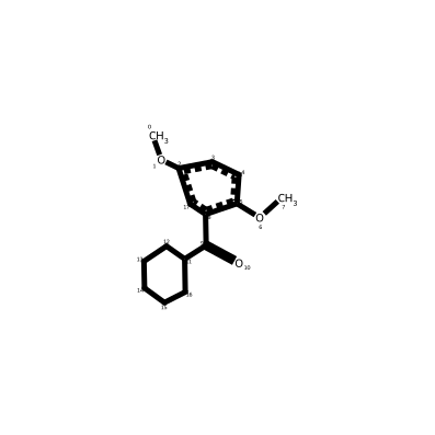 COc1ccc(OC)c(C(=O)C2CCCCC2)c1